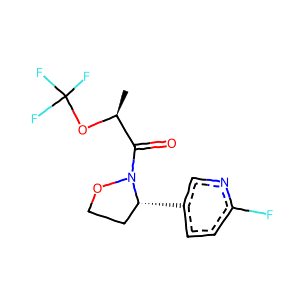 C[C@H](OC(F)(F)F)C(=O)N1OCC[C@H]1c1ccc(F)nc1